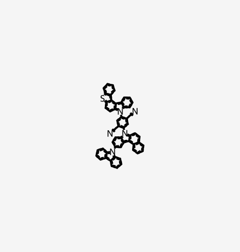 N#Cc1cc(-n2c3ccccc3c3c4c(ccc32)sc2ccccc24)c(C#N)cc1-n1c2ccc(-n3c4ccccc4c4ccccc43)cc2c2c3ccccc3ccc21